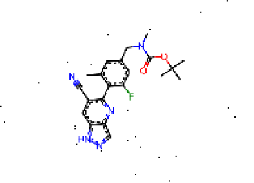 Cc1cc(CN(C)C(=O)OC(C)(C)C)cc(F)c1-c1nc2cn[nH]c2cc1C#N